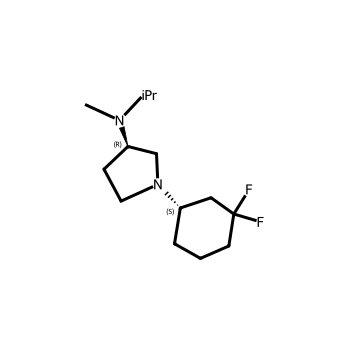 CC(C)N(C)[C@@H]1CCN([C@H]2CCCC(F)(F)C2)C1